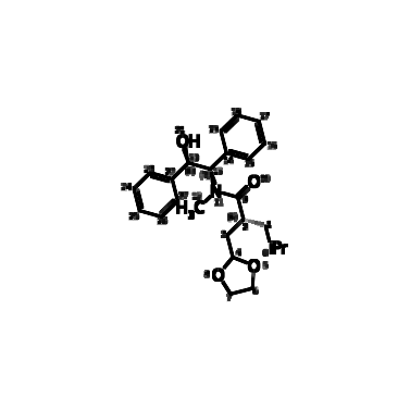 CC(C)C[C@H](CC1OCCO1)C(=O)N(C)[C@H](c1ccccc1)[C@H](O)c1ccccc1